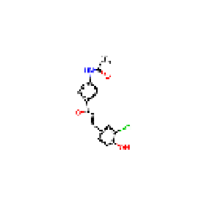 O=C(/C=C/c1ccc(O)c(Cl)c1)c1ccc(NC(=O)C(F)(F)F)cc1